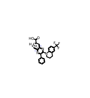 C=C(/C=c1/nc(N2CCCc3cc(C(F)(F)F)ccc32)c(-c2ccccc2)n/c1=C/C)C(=O)O